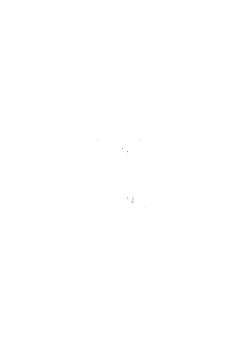 NN(N)S(N)(=O)=O